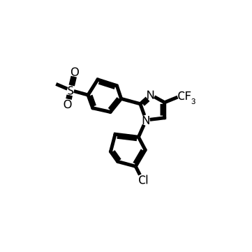 CS(=O)(=O)c1ccc(-c2nc(C(F)(F)F)cn2-c2cccc(Cl)c2)cc1